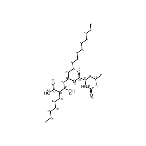 CCCCCCCCCCCC(CC(O)C(CCCCCC)C(=O)O)OC(=O)C(CC(C)C)NC=O